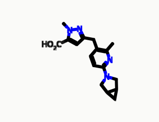 Cc1nc(N2CC3CC3C2)ccc1Cc1cc(C(=O)O)n(C)n1